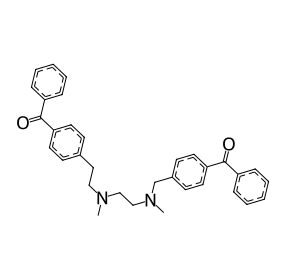 CN(CCc1ccc(C(=O)c2ccccc2)cc1)CCN(C)Cc1ccc(C(=O)c2ccccc2)cc1